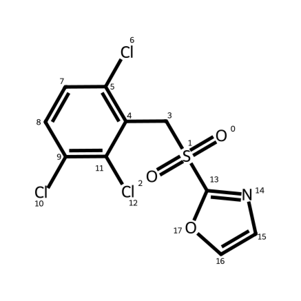 O=S(=O)(Cc1c(Cl)ccc(Cl)c1Cl)c1ncco1